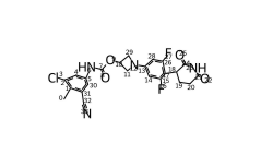 Cc1c(Cl)cc(NC(=O)OC2CN(c3cc(F)c(C4CCC(=O)NC4=O)c(F)c3)C2)cc1C#N